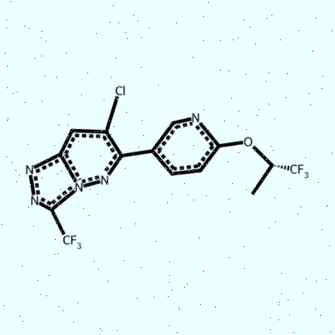 C[C@H](Oc1ccc(-c2nn3c(C(F)(F)F)nnc3cc2Cl)cn1)C(F)(F)F